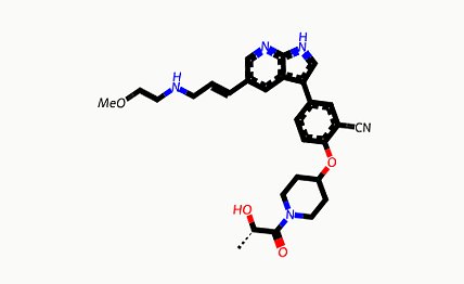 COCCNC/C=C/c1cnc2[nH]cc(-c3ccc(OC4CCN(C(=O)[C@H](C)O)CC4)c(C#N)c3)c2c1